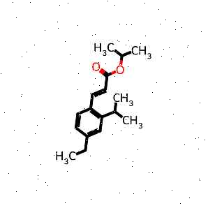 CCc1ccc(C=CC(=O)OC(C)C)c(C(C)C)c1